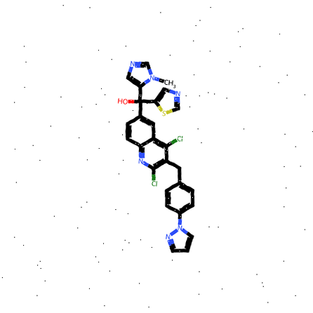 Cn1cncc1C(O)(c1ccc2nc(Cl)c(Cc3ccc(-n4cccn4)cc3)c(Cl)c2c1)c1cncs1